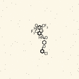 O=c1cc(C(F)(F)F)nc(-c2c(C(F)(F)F)ccc(CNC(=O)[C@H]3CC[C@H](OCc4cccc(Cl)c4)CC3)c2F)[nH]1